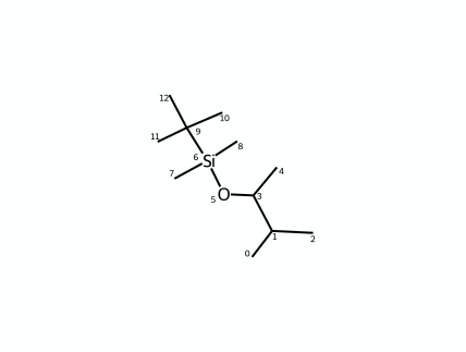 CC(C)C(C)O[Si](C)(C)C(C)(C)C